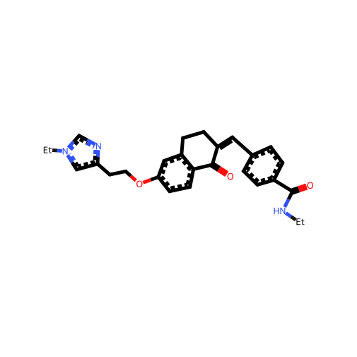 CCNC(=O)c1ccc(C=C2CCc3cc(OCCc4cn(CC)cn4)ccc3C2=O)cc1